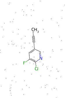 CC#Cc1cnc(Cl)c(F)c1